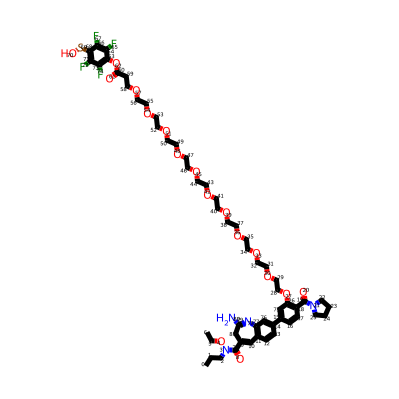 CCCN(OCC)C(=O)C1=Cc2ccc(-c3ccc(C(=O)N4CCCC4)c(OCCOCCOCCOCCOCCOCCOCCOCCOCCOCCOCCC(=O)Oc4c(F)c(F)c(SO)c(F)c4F)c3)cc2N=C(N)C1